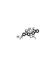 Cc1ccc2c(c1)c1cc(C)c(-c3ccc4c5ccccc5n(C)c4c3)cc1n2C